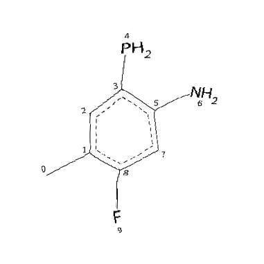 Cc1cc(P)c(N)cc1F